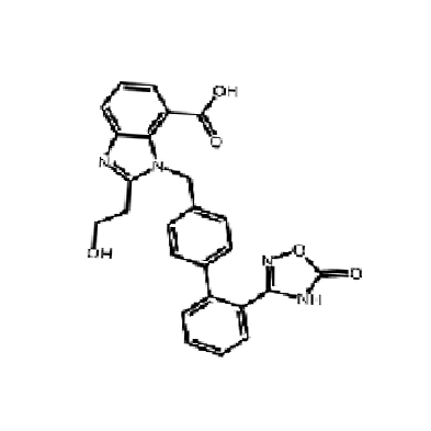 O=C(O)c1cccc2nc(CCO)n(Cc3ccc(-c4ccccc4-c4noc(=O)[nH]4)cc3)c12